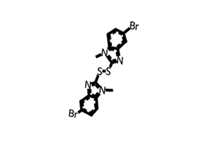 Cn1c(SSc2nc3cc(Br)ccc3n2C)nc2cc(Br)ccc21